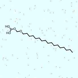 CCCCCCCCCCCCCCCCCOCOB(O)O